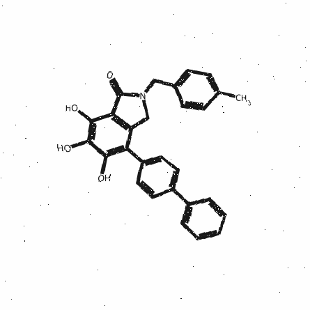 Cc1ccc(CN2Cc3c(c(O)c(O)c(O)c3-c3ccc(-c4ccccc4)cc3)C2=O)cc1